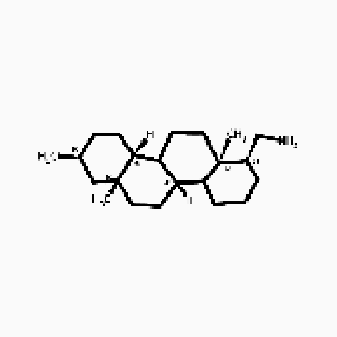 C[C@H]1CC[C@@H]2C3CC[C@@]4(C)C(CCC[C@@H]4CN)[C@@H]3CC[C@]2(C)C1